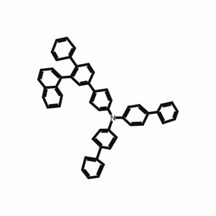 c1ccc(-c2ccc(N(c3ccc(-c4ccccc4)cc3)c3ccc(-c4ccc(-c5ccccc5)c(-c5cccc6ccccc56)c4)cc3)cc2)cc1